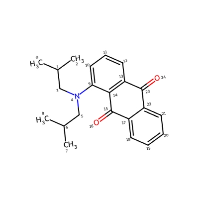 CC(C)CN(CC(C)C)c1cccc2c1C(=O)c1ccccc1C2=O